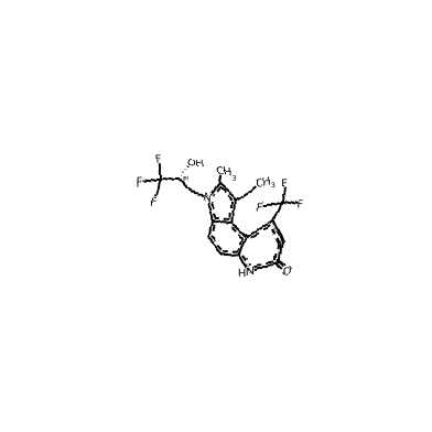 Cc1c(C)n(C[C@@H](O)C(F)(F)F)c2ccc3[nH]c(=O)cc(C(F)(F)F)c3c12